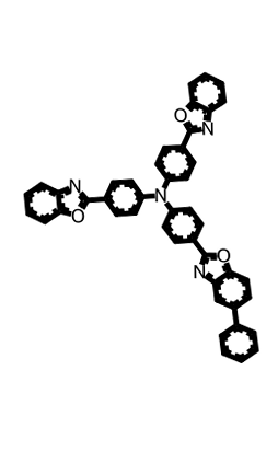 c1ccc(-c2ccc3oc(-c4ccc(N(c5ccc(-c6nc7ccccc7o6)cc5)c5ccc(-c6nc7ccccc7o6)cc5)cc4)nc3c2)cc1